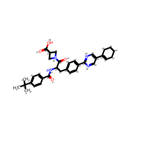 CC(C)(C)c1ccc(C(=O)NC(Cc2ccc(-c3ncc(C4=CCCCC4)cn3)cc2)C(=O)N2CC(C(=O)O)C2)cc1